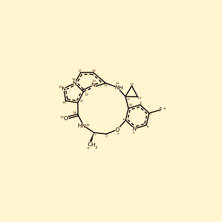 C[C@@H]1COc2ncc(F)cc2C2(CC2)Nc2ccn3ncc(c3n2)C(=O)N1